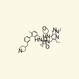 CCc1nc2c(cnn2CC)c(NC2CCOCC2)c1CNC(=O)C1(C(=O)NCc2ccc(C)c(-c3cccc(CC4CCN(C)CC4)c3)c2)CC1